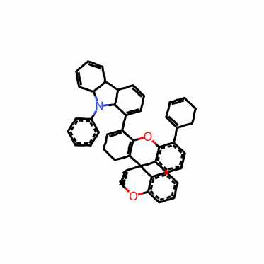 C1=CCCC(c2cccc3c2OC2=C(CCC=C2C2=CC=CC4C5C=CC=CC5N(c5ccccc5)C24)C32c3ccccc3Oc3ccccc32)=C1